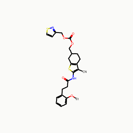 CCOc1ccccc1CCC(=O)Nc1sc2c(c1C#N)CCC(COC(=O)OCc1ccsn1)C2